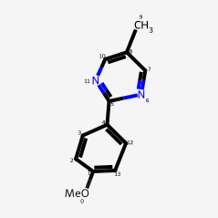 COc1ccc(-c2ncc(C)cn2)cc1